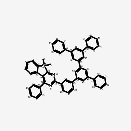 C[Si]1(C)c2ccccc2-c2c(-c3ccccc3)nc(-c3cccc(-c4cc(-c5ccccc5)cc(-c5cc(-c6ccccc6)cc(-c6ccccc6)c5)c4)c3)nc21